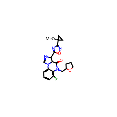 COC1(c2noc(C3N=CN4c5cccc(F)c5N(CC5CCCO5)C(=O)C34)n2)CC1